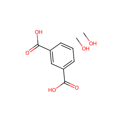 CO.CO.O=C(O)c1cccc(C(=O)O)c1